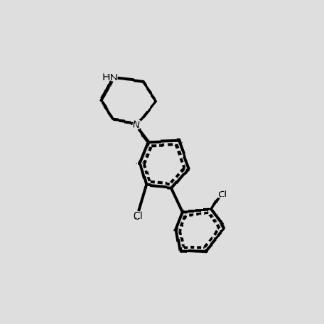 Clc1[c]c(N2CCNCC2)ccc1-c1ccccc1Cl